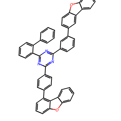 c1ccc(-c2ccccc2-c2nc(-c3ccc(-c4cccc5oc6ccccc6c45)cc3)nc(-c3cccc(-c4ccc5oc6ccccc6c5c4)c3)n2)cc1